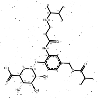 CC(C)C(=O)OCc1ccc(O[C@H]2O[C@H](C(=O)O)[C@@H](O)[C@H](O)[C@H]2O)c(NC(=O)CCNC(C)C(C)C)c1